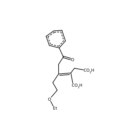 CCOCCC(CC(=O)c1ccccc1)=C(CC(=O)O)C(=O)O